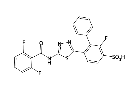 O=C(Nc1nnc(-c2ccc(S(=O)(=O)O)c(F)c2-c2ccccc2)s1)c1c(F)cccc1F